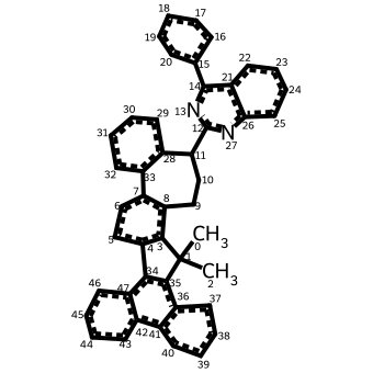 CC1(C)c2c(ccc3c2CCC(c2nc(-c4ccccc4)c4ccccc4n2)c2ccccc2-3)-c2c1c1ccccc1c1ccccc21